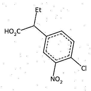 CCC(C(=O)O)c1ccc(Cl)c([N+](=O)[O-])c1